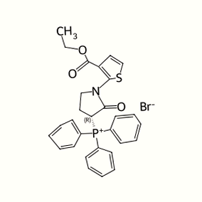 CCOC(=O)c1ccsc1N1CC[C@@H]([P+](c2ccccc2)(c2ccccc2)c2ccccc2)C1=O.[Br-]